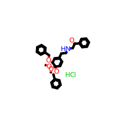 COC1(OCc2ccccc2)C=CC(CCNCC(=O)c2ccccc2)=CC1(OC)OCc1ccccc1.Cl